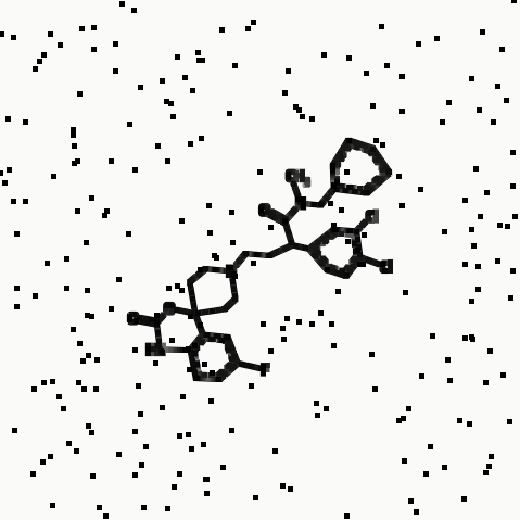 CN(Cc1ccccc1)C(=O)C(CCN1CCC2(CC1)OC(=O)Nc1ccc(F)cc12)c1ccc(Cl)c(Cl)c1